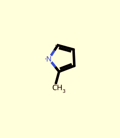 CC1=CC=[C][N]1